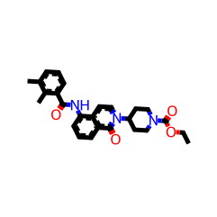 CCOC(=O)N1CCC(n2ccc3c(NC(=O)c4cccc(C)c4C)cccc3c2=O)CC1